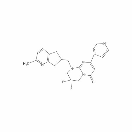 Cc1ccc2c(n1)CC(CN1CC(F)(F)Cn3c1nc(-c1ccncc1)cc3=O)C2